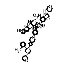 Cc1ccccc1[C@@H]1CN([C@H]2CCCOC2)CCN1C1CC2(CCN(c3ccc(C(=O)NS(=O)(=O)c4cc5c(c([N+](=O)[O-])c4)N[C@H](C4CCOCC4)CO5)c(N4c5cc6cc[nH]c6nc5O[C@H]5COCC[C@@H]54)c3)CC2)C1